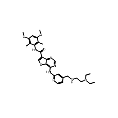 CCN(CC)CCNCc1ccnc(Nc2ncnc3c(C(=O)Nc4c(C)c(OC)cc(OC)c4I)csc23)c1